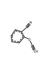 C#COc1ccccc1C#N